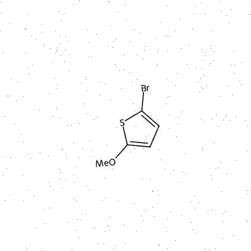 COc1ccc(Br)s1